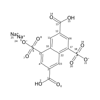 O=C(O)c1cc(S(=O)(=O)[O-])c2cc(C(=O)O)cc(S(=O)(=O)[O-])c2c1.[Na+].[Na+]